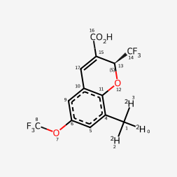 [2H]C([2H])([2H])c1cc(OC(F)(F)F)cc2c1O[C@H](C(F)(F)F)C(C(=O)O)=C2